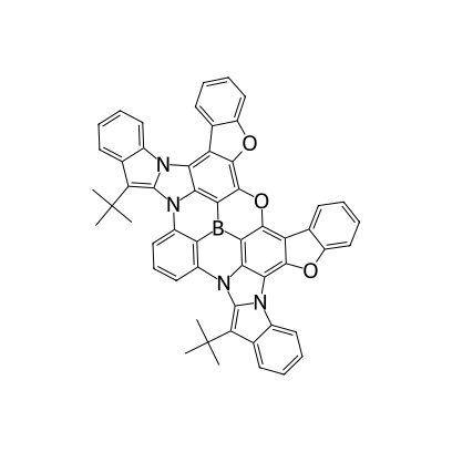 CC(C)(C)c1c2ccccc2n2c3c4oc5ccccc5c4c4c5c3n(c12)-c1cccc2c1B5c1c(c3oc5ccccc5c3c3c1n-2c1c(C(C)(C)C)c2ccccc2n31)O4